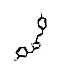 Fc1ccc(/C=C/c2nnc(Cc3cccc(Br)c3)o2)cc1